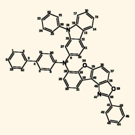 c1ccc(-c2ccc(N(c3ccc4c5ccccc5n(-c5ccccc5)c4c3)c3cccc4c3oc3ccc5oc(-c6ccccc6)nc5c34)cc2)cc1